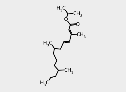 CCCC(C)CCCC(C)CC=CC(C)=CC(=O)OC(C)C